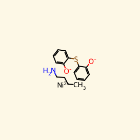 CCCCN.[Ni+2].[O-]c1ccccc1Sc1ccccc1[O-]